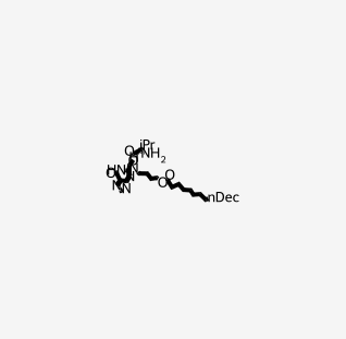 CCCCCCCCCCCCCCCCCC(=O)OCCCCNC1(COC(=O)[C@@H](N)C(C)C)N=C2N=CN=C2C(=O)N1